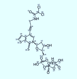 O=C(NCC#Cc1cn([C@H]2C[C@@H](O)[C@@H](COP(=O)(O)OP(=O)(O)OP(=O)(O)O)O2)c(=S)c2sccc12)C(Cl)Cl